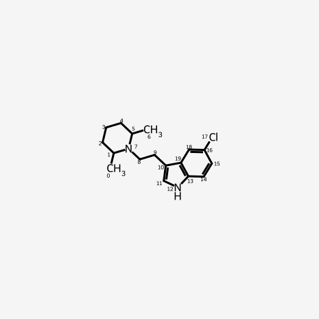 CC1CCCC(C)N1CCc1c[nH]c2ccc(Cl)cc12